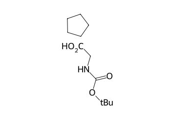 C1CCCC1.CC(C)(C)OC(=O)NCC(=O)O